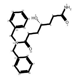 NC(=O)CC[C@@H](O)CCC(=O)N(Cc1ccccc1)Cc1ccccc1